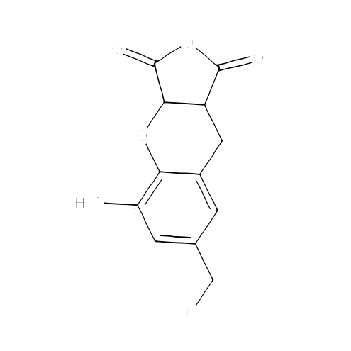 CCc1cc(C)c2c(c1)CC1C(=O)OC(=O)C1O2